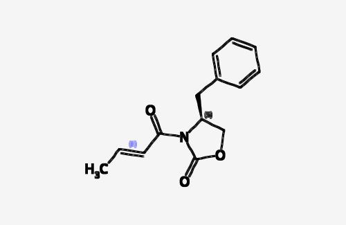 C/C=C/C(=O)N1C(=O)OC[C@@H]1Cc1ccccc1